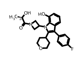 C[C@@H](O)C(=O)N1CC(n2c(C3CCOCC3)c(-c3ccc(F)cc3)c3cccc(O)c32)C1